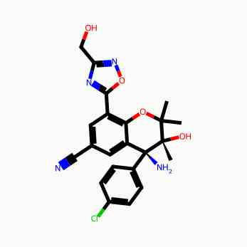 CC1(C)Oc2c(-c3nc(CO)no3)cc(C#N)cc2[C@@](N)(c2ccc(Cl)cc2)[C@@]1(C)O